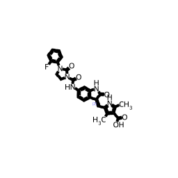 Cc1[nH]c(/C=C2\C(=O)Nc3cc(NC(=O)N4CCN(c5ccccc5F)C4=O)ccc32)c(C)c1C(=O)O